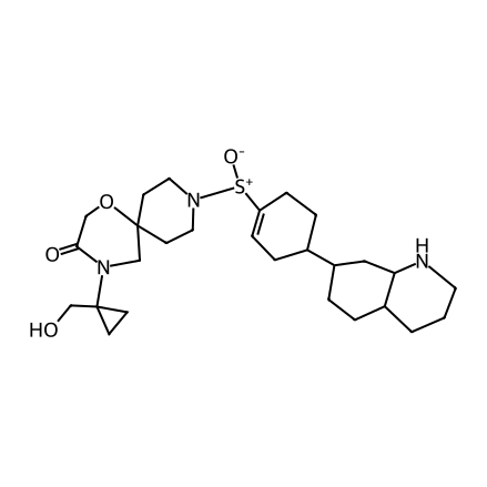 O=C1COC2(CCN([S+]([O-])C3=CCC(C4CCC5CCCNC5C4)CC3)CC2)CN1C1(CO)CC1